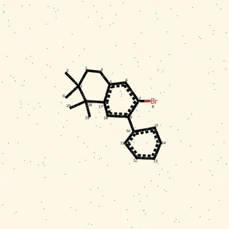 CC1(C)CCc2cc(Br)c(-c3ccccc3)cc2C1(C)C